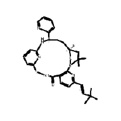 CC(C)(C)/C=C/c1ccc2c(n1)N1C[C@@H](CC[C@H](c3ccccn3)Nc3cccc(n3)SNC2=O)CC1(C)C